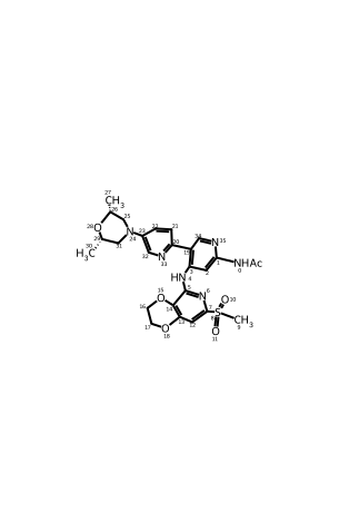 CC(=O)Nc1cc(Nc2nc(S(C)(=O)=O)cc3c2OCCO3)c(-c2ccc(N3C[C@@H](C)O[C@@H](C)C3)cn2)cn1